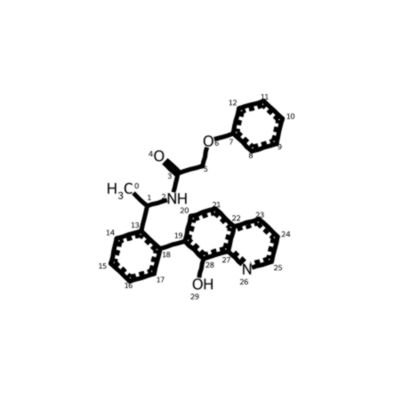 CC(NC(=O)COc1ccccc1)c1ccccc1-c1ccc2cccnc2c1O